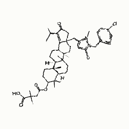 CC(C)C1=C2C3CC[C@H]4C(C)(CC[C@H]5C(C)(C)[C@@H](OC(=O)CC(C)(C)C(=O)O)CC[C@@]54C)[C@]3(C)CCC2(Cc2cc(=O)n(Cc3ccc(Cl)cc3)n2C)CC1=O